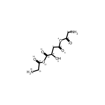 NCC(=O)OC(=O)CC(O)C(=O)OC(=O)CN